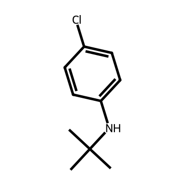 CC(C)(C)Nc1ccc(Cl)cc1